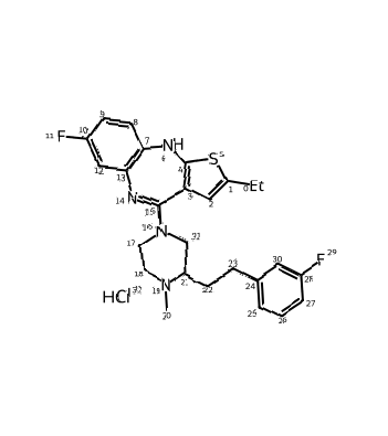 CCc1cc2c(s1)Nc1ccc(F)cc1N=C2N1CCN(C)C(CCc2cccc(F)c2)C1.Cl